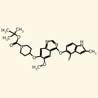 COc1cc2c(Oc3ccc4[nH]c(C)cc4c3F)ncnc2cc1OC1CCN(C(=O)OC(C)(C)C)CC1